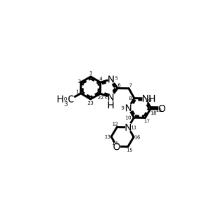 Cc1ccc2nc(Cc3nc(N4CCOCC4)cc(=O)[nH]3)[nH]c2c1